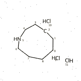 C1CCCCNCCC1.Cl.Cl.Cl